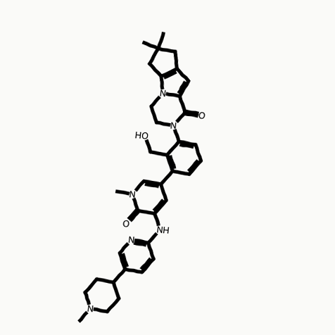 CN1CCC(c2ccc(Nc3cc(-c4cccc(N5CCn6c(cc7c6CC(C)(C)C7)C5=O)c4CO)cn(C)c3=O)nc2)CC1